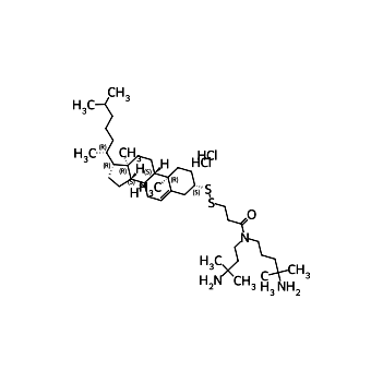 CC(C)CCC[C@@H](C)[C@H]1CC[C@H]2[C@@H]3CC=C4C[C@@H](SSCCC(=O)N(CCCC(C)(C)N)CCC(C)(C)N)CC[C@]4(C)[C@H]3CC[C@]12C.Cl.Cl